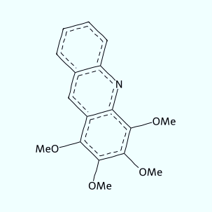 COc1c(OC)c(OC)c2nc3ccccc3cc2c1OC